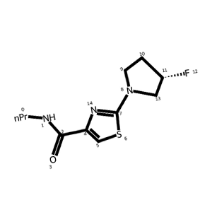 CCCNC(=O)c1csc(N2CC[C@H](F)C2)n1